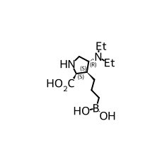 CCN(CC)[C@H]1CN[C@H](C(=O)O)[C@@H]1CCCB(O)O